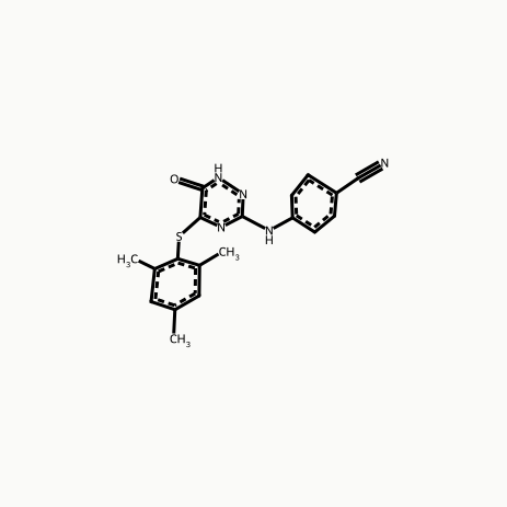 Cc1cc(C)c(Sc2nc(Nc3ccc(C#N)cc3)n[nH]c2=O)c(C)c1